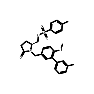 COc1ccc(CN2C(=O)CC[C@H]2COS(=O)(=O)c2ccc(C)cc2)cc1-c1cccc(C)c1